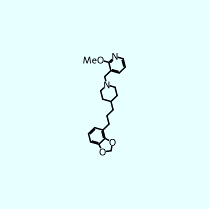 COc1ncccc1CN1CCC(CCCc2cccc3c2OCO3)CC1